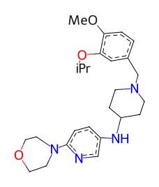 COc1ccc(CN2CCC(Nc3ccc(N4CCOCC4)nc3)CC2)cc1OC(C)C